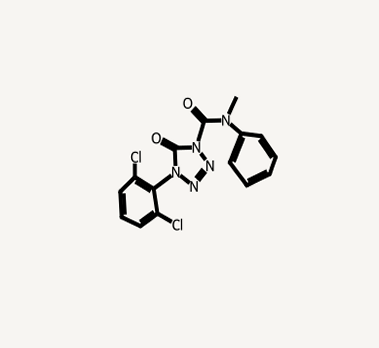 CN(C(=O)n1nnn(-c2c(Cl)cccc2Cl)c1=O)c1ccccc1